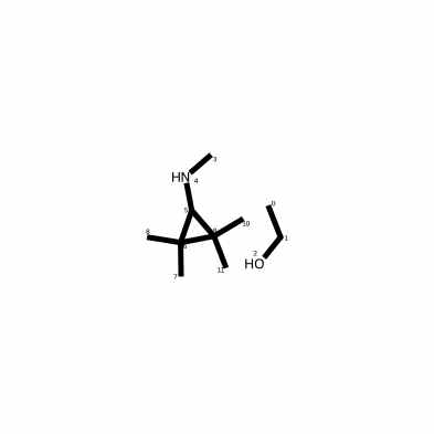 CCO.CNC1C(C)(C)C1(C)C